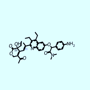 CCc1c(/C(C)=C/C2=C(C(C)=O)COC(=O)[C@]2(O)CC)nc2ccc(OC(C(=O)N(C)C)c3ccc(N)cc3)cc2c1CC